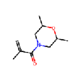 C=C(C)C(=O)N1CC(C)OC(C)C1